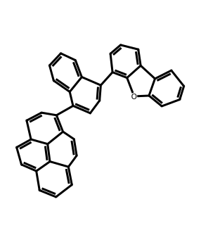 c1cc2ccc3ccc(-c4ccc(-c5cccc6c5oc5ccccc56)c5ccccc45)c4ccc(c1)c2c34